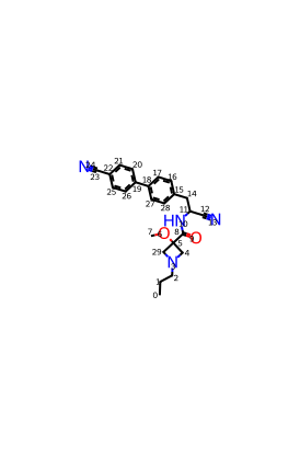 CCCN1CC(OC)(C(=O)NC(C#N)Cc2ccc(-c3ccc(C#N)cc3)cc2)C1